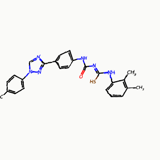 Cc1ccc(-n2cnc(-c3ccc(NC(=O)/N=C(\S)Nc4cccc(C)c4C)cc3)n2)cc1